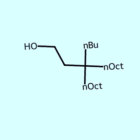 CCCCCCCCC(CCO)(CCCC)CCCCCCCC